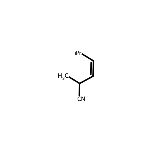 CC(C)/C=C\C(C)C#N